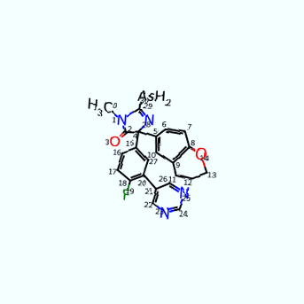 CN1C(=O)C(c2ccc3c(c2)CCCO3)(c2ccc(F)c(-c3cncnc3)c2)N=C1[AsH2]